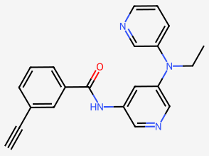 C#Cc1cccc(C(=O)Nc2cncc(N(CC)c3cccnc3)c2)c1